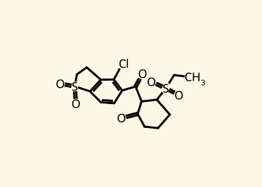 CCS(=O)(=O)C1CCCC(=O)C1C(=O)c1ccc2c(c1Cl)CCS2(=O)=O